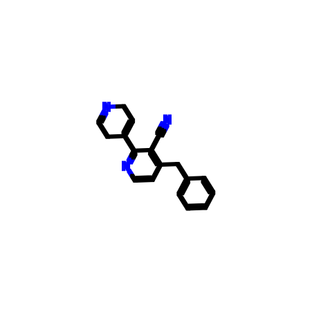 N#Cc1c(Cc2ccccc2)ccnc1C1=CCN=CC1